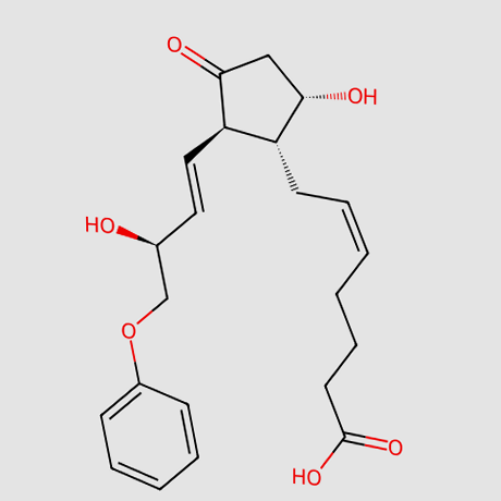 O=C(O)CCC/C=C\C[C@H]1[C@@H](O)CC(=O)[C@@H]1/C=C/[C@H](O)COc1ccccc1